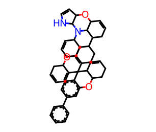 C1=CCC2OC3=C(CCC(C4CC=CC5OC6C=CNC6N(C6C=CCCC6)C54)C3)C3(C2=C1)c1ccc(-c2ccccc2)cc1OC1CCC=CC13